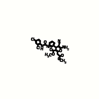 COC(=O)CC1=C(C(=O)OC)C(c2cccc(NC(=O)Nc3ccc(Cl)cc3Cl)c2)C(C#N)=C(N)O1